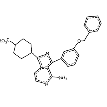 Nc1nccn2c(C3CCC(C(=O)O)CC3)nc(-c3cccc(OCc4ccccc4)c3)c12